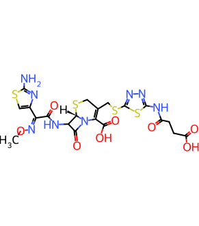 CON=C(C(=O)NC1C(=O)N2C(C(=O)O)=C(CSc3nnc(NC(=O)CCC(=O)O)s3)CS[C@@H]12)c1csc(N)n1